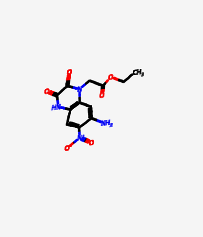 CCOC(=O)Cn1c(=O)c(=O)[nH]c2cc([N+](=O)[O-])c(N)cc21